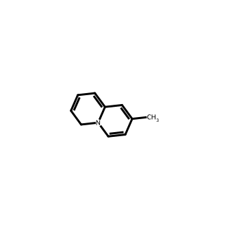 CC1=CC2=CC=CCN2C=C1